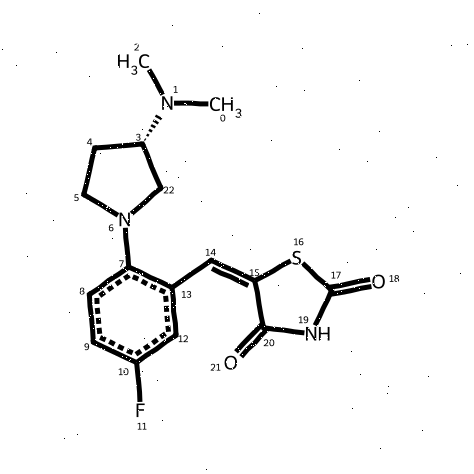 CN(C)[C@H]1CCN(c2ccc(F)cc2/C=C2/SC(=O)NC2=O)C1